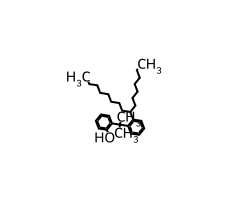 CCCCCCCCC(CCCCCCC)c1ccccc1C(C)(C)c1ccccc1O